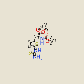 CC(C)(C)OC(=O)NC(Cc1ccc(NC(N)=S)s1)C(=O)OC(C)(C)C